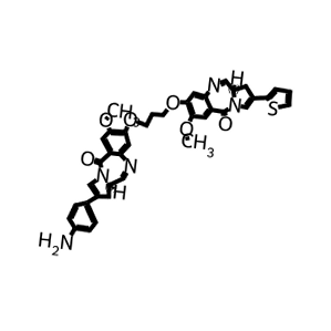 COc1cc2c(cc1OCCCOc1cc3c(cc1OC)C(=O)N1C=C(c4cccs4)C[C@H]1C=N3)N=C[C@@H]1CC(c3ccc(N)cc3)=CN1C2=O